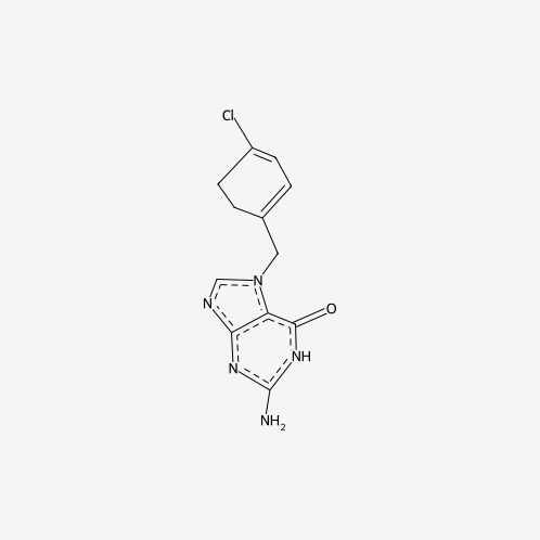 Nc1nc2ncn(CC3=CC=C(Cl)CC3)c2c(=O)[nH]1